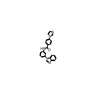 O=C(Nc1cccc(-n2cnc3ccccc32)c1)c1ccc(-n2ccnc2)cc1